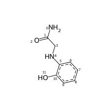 NC(=O)CNc1ccccc1O